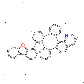 c1ccc2c(c1)-c1ccc3cccnc3c1-c1ccccc1-c1cccc(-c3cccc4c3oc3ccccc34)c1-2